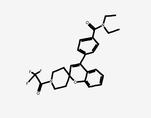 CCN(CC)C(=O)c1ccc(C2=CC3(CCN(C(=O)C(F)(F)F)CC3)Oc3ccccc32)cc1